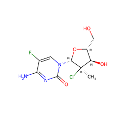 C[C@@]1(Cl)[C@H](O)[C@@H](CO)O[C@H]1n1cc(F)c(N)nc1=O